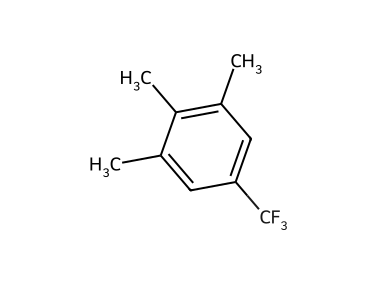 Cc1cc(C(F)(F)F)cc(C)c1C